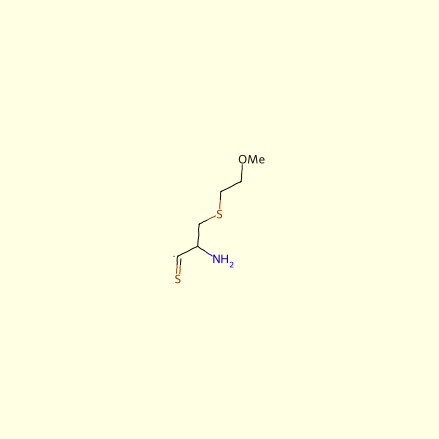 COCCSCC(N)[C]=S